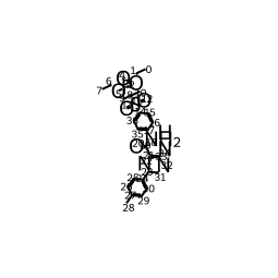 CCOP(=O)(OCC)C(C)(C)S(=O)(=O)c1ccc(NC(=O)c2nc(-c3ccc(C)cc3)cnc2N)cc1